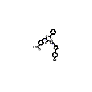 CCN(CC)c1ccc(/C=C(/NC(=O)c2ccccc2)C(=O)N/N=C/c2ccc(-c3ccc([N+](=O)[O-])cc3)o2)cc1